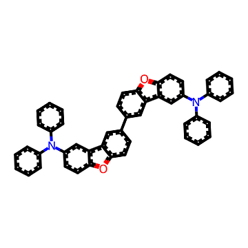 c1ccc(N(c2ccccc2)c2ccc3oc4ccc(-c5ccc6oc7ccc(N(c8ccccc8)c8ccccc8)cc7c6c5)cc4c3c2)cc1